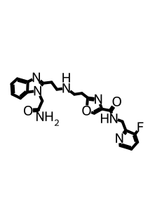 NC(=O)Cn1c(CCNCCc2nc(C(=O)NCc3ncccc3F)co2)nc2ccccc21